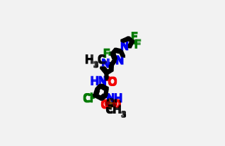 Cn1cc(C(=O)Nc2cc(Cl)cc(NS(C)(=O)=O)c2)cc1-c1ncc(N2CCC(F)(F)C2)cc1F